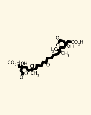 CC(C)(CCCCC(=O)CCCCC(C)(C)C1CC(O)(CC(=O)O)CC(=O)O1)C1CC(O)(CC(=O)O)CC(=O)O1